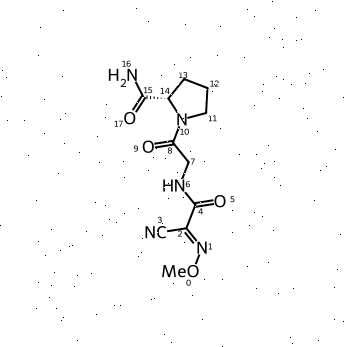 CO/N=C(\C#N)C(=O)NCC(=O)N1CCC[C@H]1C(N)=O